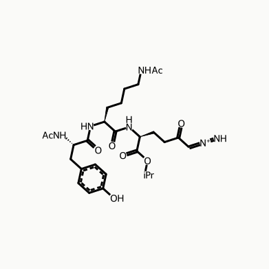 CC(=O)NCCCC[C@H](NC(=O)[C@H](Cc1ccc(O)cc1)NC(C)=O)C(=O)N[C@@H](CCC(=O)C=[N+]=N)C(=O)OC(C)C